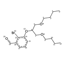 CCCCOCC(COCCCC)Oc1cccc(C=O)c1Br